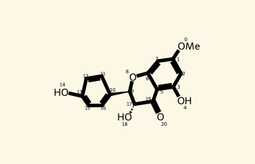 COc1cc(O)c2c(c1)O[C@H](c1ccc(O)cc1)[C@@H](O)C2=O